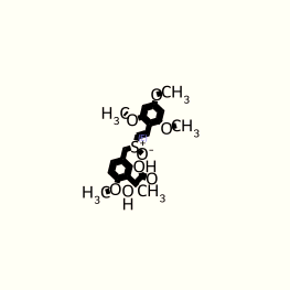 COc1cc(OC)c(/C=C/[S+]([O-])Cc2ccc(OC)c(C(C)(O)C(=O)O)c2)c(OC)c1